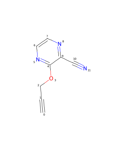 C#CCOc1nccnc1C#N